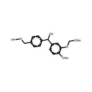 CCCOCc1ccc(C(O)c2ccc(OC)c(OCOC)c2)cc1